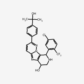 CC(C)(O)c1ccc(-c2ccc3nc4c(n3n2)C(c2cc(Cl)ccc2C(F)(F)F)NCC4O)cc1